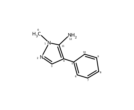 Cn1ncc(-c2ccccc2)c1N